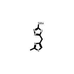 CSc1nnc(Cc2csc(C)n2)o1